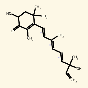 C=CC(C)(O)/C=C/C=C(C)/C=C/C1=C(C)C(=O)C(O)CC1(C)C